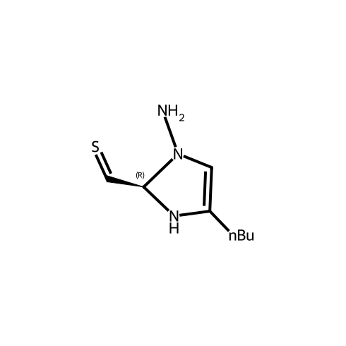 CCCCC1=CN(N)[C@H](C=S)N1